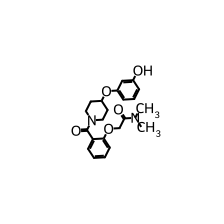 CN(C)C(=O)COc1ccccc1C(=O)N1CCC(Oc2cccc(O)c2)CC1